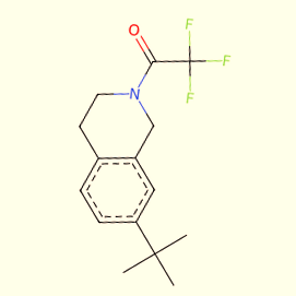 CC(C)(C)c1ccc2c(c1)CN(C(=O)C(F)(F)F)CC2